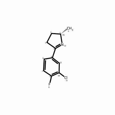 C[C@H]1CCC(c2ccc(F)c(Cl)c2)=N1